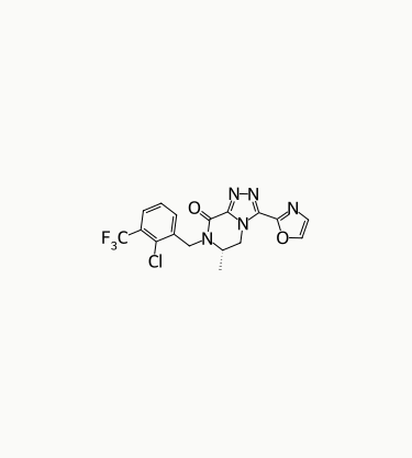 C[C@H]1Cn2c(nnc2-c2ncco2)C(=O)N1Cc1cccc(C(F)(F)F)c1Cl